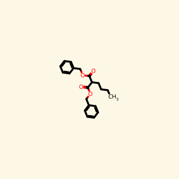 CCCCC(C(=O)OCc1ccccc1)C(=O)OCc1ccccc1